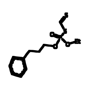 CCOP(=O)(OCCCc1ccccc1)SC=S